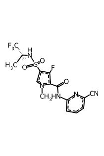 C[C@@H](NS(=O)(=O)c1cn(C)c(C(=O)Nc2cccc(C#N)n2)c1F)C(F)(F)F